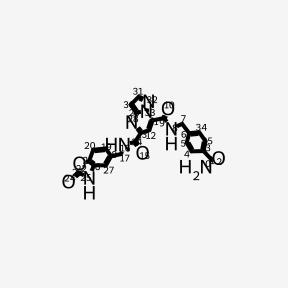 NC(=O)c1ccc(CNC(=O)c2cc(C(=O)NCc3ccc4oc(=O)[nH]c4c3)nc3ccnn23)cc1